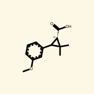 COc1cccc(C2[C@H](C(=O)O)C2(C)C)c1